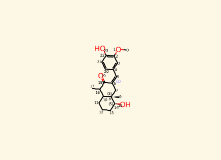 COc1cc(/C=C2/C[C@@]3(C)C(CCC[C@@H]3O)C(C)C2=O)ccc1O